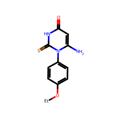 CCOc1ccc(-n2c(N)cc(=O)[nH]c2=S)cc1